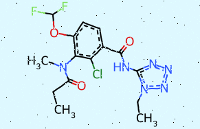 CCC(=O)N(C)c1c(OC(F)F)ccc(C(=O)Nc2nnnn2CC)c1Cl